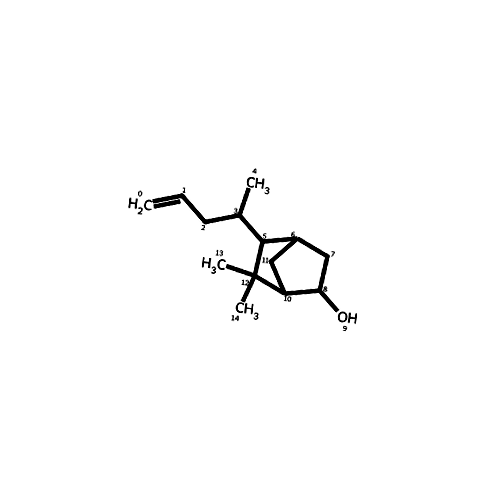 C=CCC(C)C1C2CC(O)C(C2)C1(C)C